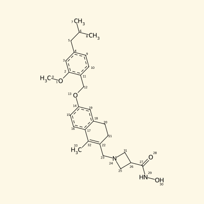 COc1cc(CC(C)C)ccc1COc1ccc2c(c1)CCC(CN1CC(C(=O)NO)C1)=C2C